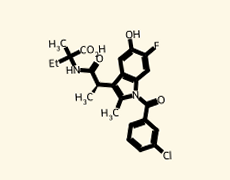 CCC(C)(NC(=O)[C@H](C)c1c(C)n(C(=O)c2cccc(Cl)c2)c2cc(F)c(O)cc12)C(=O)O